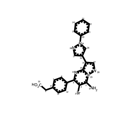 Nc1c(Br)c(-c2ccc(CC(=O)O)cc2)nc2c(-c3cnn(-c4ccccc4)c3)cnn12